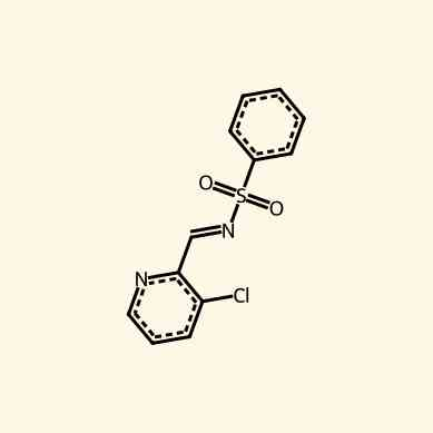 O=S(=O)(/N=C/c1ncccc1Cl)c1ccccc1